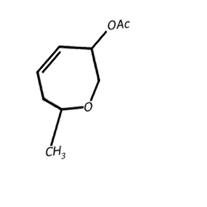 CC(=O)OC1C=CCC(C)OC1